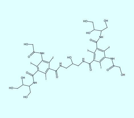 O=C(CO)Nc1c(I)c(C(=O)NCC(O)CNC(=O)c2c(I)c(NC(=O)CO)c(I)c(C(=O)NC(CO)C(O)CO)c2I)c(I)c(C(=O)NC(CO)C(O)CO)c1I